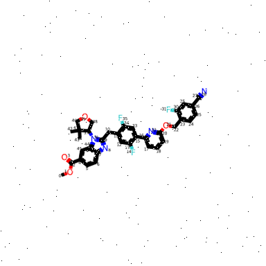 COC(=O)c1ccc2nc(Cc3cc(F)c(-c4cccc(OCc5ccc(C#N)cc5F)n4)cc3F)n(C3COCC3(C)C)c2c1